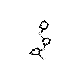 N#Cc1ccccc1Oc1ccnc(Oc2[c]cccc2)n1